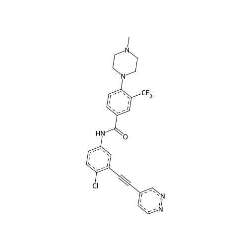 CN1CCN(c2ccc(C(=O)Nc3ccc(Cl)c(C#Cc4ccnnc4)c3)cc2C(F)(F)F)CC1